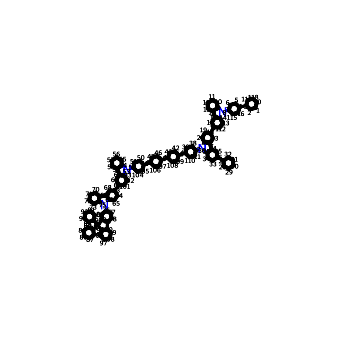 c1ccc(-c2ccc(-n3c4ccccc4c4cc(-c5ccc6c(c5)c5cc(-c7ccccc7)ccc5n6-c5ccc(-c6ccc(-c7ccc(-c8ccc(-n9c%10ccccc%10c%10cc(-c%11ccc%12c(c%11)c%11ccccc%11n%12-c%11ccc%12c(c%11)C(c%11ccccc%11)(c%11ccccc%11)c%11ccccc%11-%12)ccc%109)cc8)cc7)cc6)cc5)ccc43)cc2)cc1